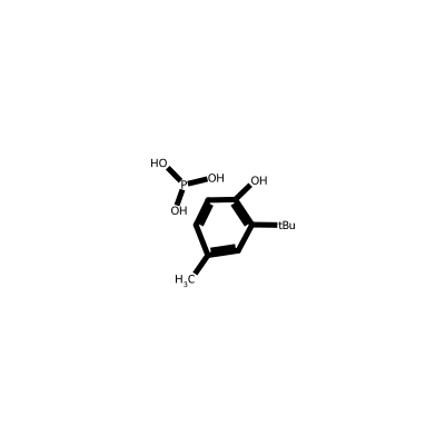 Cc1ccc(O)c(C(C)(C)C)c1.OP(O)O